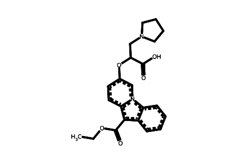 CCOC(=O)c1c2ccccc2n2cc(OC(CN3CCCC3)C(=O)O)ccc12